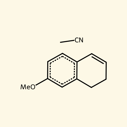 CC#N.COc1ccc2c(c1)CCC=C2